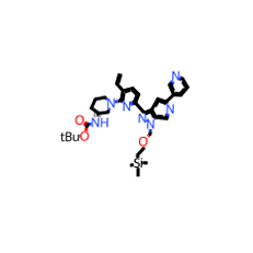 C=Cc1ccc(-c2nn(COCC[Si](C)(C)C)c3cnc(-c4cccnc4)cc23)nc1N1CCC[C@@H](NC(=O)OC(C)(C)C)C1